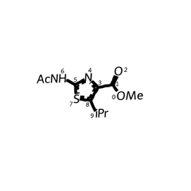 COC(=O)c1nc(NC(C)=O)sc1C(C)C